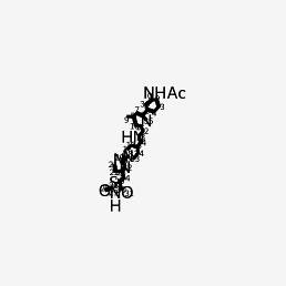 CC(=O)Nc1cccc(-c2cc(C)cc(CNCC3CCN(c4nccc(/C=C5\SC(=O)NC5=O)n4)CC3)n2)c1